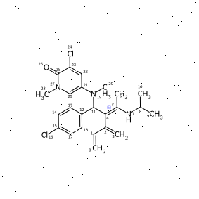 C=CC(=C)/C(=C(/C)NC(C)C)C(c1ccc(Cl)cc1)N(C)c1cc(Cl)c(=O)n(C)c1